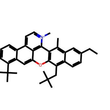 CCc1ccc2c(CC(C)(C)C)c3c(c(C)c2c1)-c1c2c(cc4c(C(C)(C)C)cccc4c2cc[n+]1C)O3